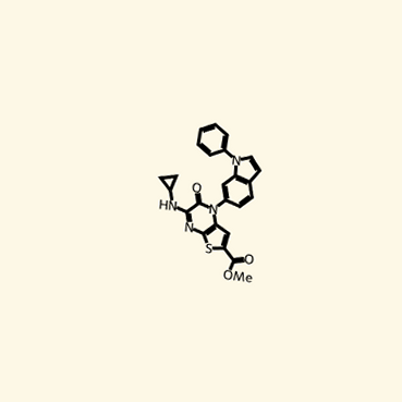 COC(=O)c1cc2c(nc(NC3CC3)c(=O)n2-c2ccc3ccn(-c4ccccc4)c3c2)s1